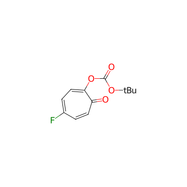 CC(C)(C)OC(=O)Oc1ccc(F)ccc1=O